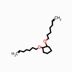 C=CCCCCCOC1CCCCC1OCCCCCC=C